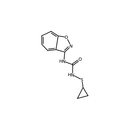 O=C(NSC1CC1)Nc1noc2ccccc12